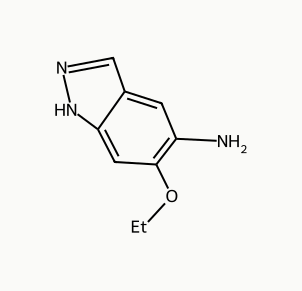 CCOc1cc2[nH]ncc2cc1N